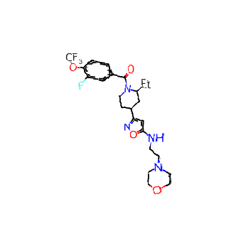 CCC1CC(c2cc(NCCN3CCOCC3)on2)CCN1C(=O)c1ccc(OC(F)(F)F)c(F)c1